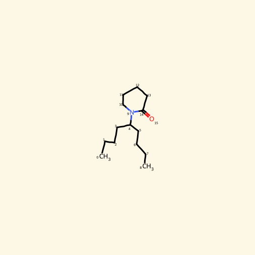 CCCCC(CCCC)N1CCCCC1=O